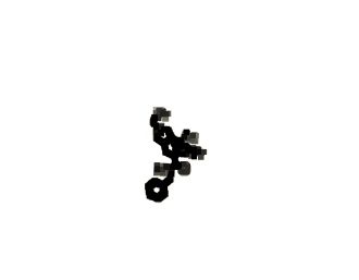 CC(=O)C1NC2(C(=O)NCc3ccccc3)CC3CN(CC(C)C)C(C31)C2CC(C)C